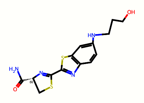 NC(=O)[C@H]1CSC(c2nc3ccc(NCCCO)cc3s2)=N1